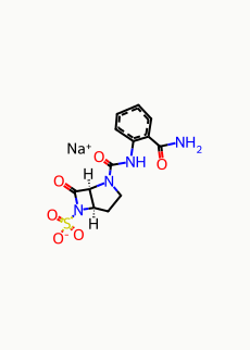 NC(=O)c1ccccc1NC(=O)N1CC[C@@H]2[C@H]1C(=O)N2S(=O)(=O)[O-].[Na+]